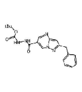 CC(C)(C)OC(=O)NNC(=O)c1cnc2cc(Cc3ccccc3)nn2c1